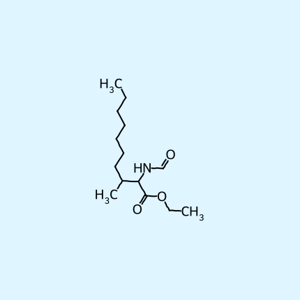 CCCCCCCC(C)C(NC=O)C(=O)OCC